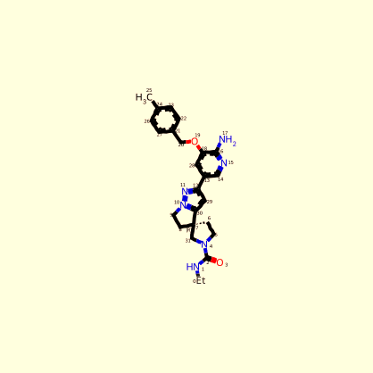 CCNC(=O)N1CC[C@@]2(CCn3nc(-c4cnc(N)c(OCc5ccc(C)cc5)c4)cc32)C1